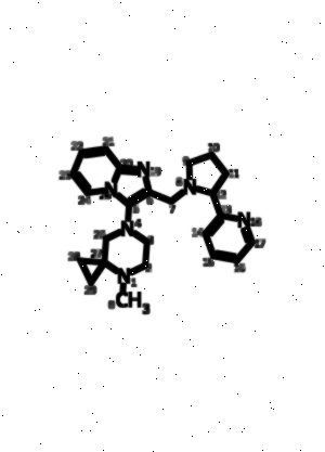 CN1CCN(c2c(CN3CCCC3c3ccccn3)nc3ccccn23)CC12CC2